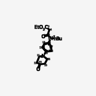 CCCCN(C(=O)CC(=O)OCC)c1ccc(N2CCC(=O)CC2)cc1